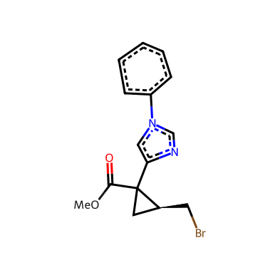 COC(=O)C1(c2cn(-c3ccccc3)cn2)C[C@@H]1CBr